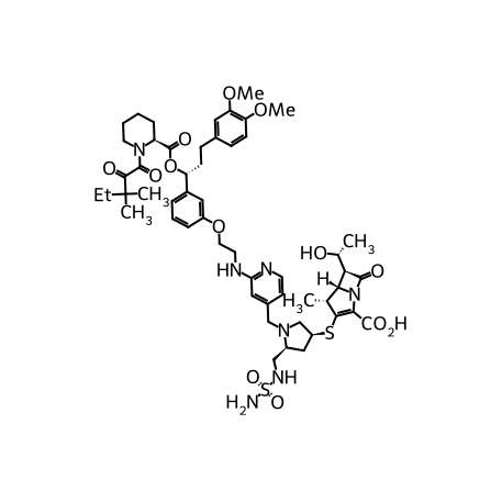 CCC(C)(C)C(=O)C(=O)N1CCCC[C@H]1C(=O)O[C@H](CCc1ccc(OC)c(OC)c1)c1cccc(OCCNc2cc(CN3C[C@@H](SC4=C(C(=O)O)N5C(=O)[C@H]([C@@H](C)O)[C@H]5[C@H]4C)C[C@H]3CNS(N)(=O)=O)ccn2)c1